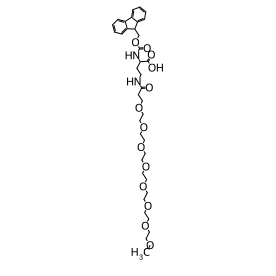 COCCOCCOCCOCCOCCOCCOCCOCCC(=O)NCCC(NC(=O)OCC1c2ccccc2-c2ccccc21)C(=O)O